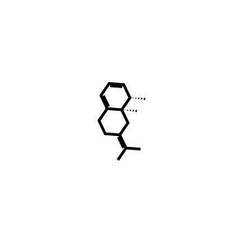 CC(C)=C1CCC2=CC=C[C@H](C)[C@@]2(C)C1